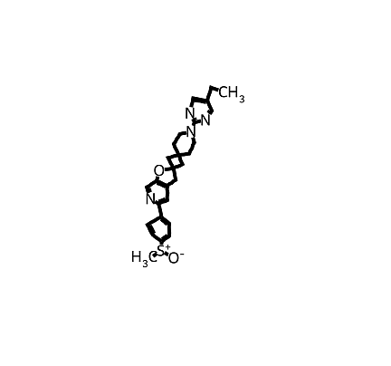 CCc1cnc(N2CCC3(CC2)CC2(Cc4cc(-c5ccc([S+](C)[O-])cc5)ncc4O2)C3)nc1